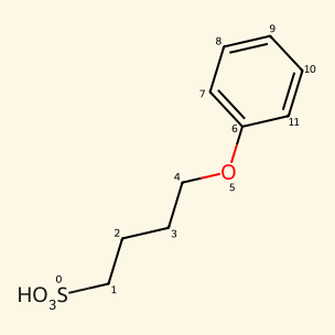 O=S(=O)(O)CCCCOc1ccccc1